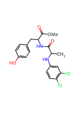 COC(=O)C(Cc1ccc(O)cc1)NC(=O)C(C)Nc1ccc(Cl)c(Cl)c1